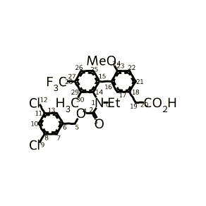 CCN(C(=O)OCc1cc(Cl)cc(Cl)c1)c1c(-c2cc(CC(=O)O)ccc2OC)ccc(C(F)(F)F)c1C